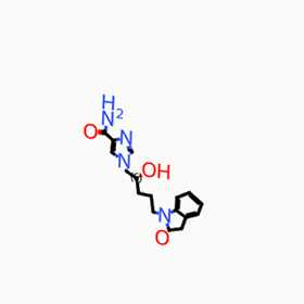 NC(=O)c1cn(C[C@@H](O)CCCN2C(=O)Cc3ccccc32)cn1